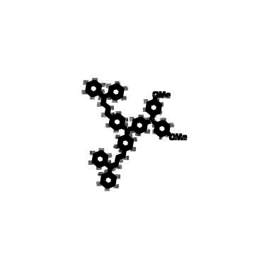 COc1ccc(N(c2ccc(OC)cc2)c2ccc(N(c3ccc(C=CC=C(c4ccccc4)c4ccccc4)cc3)c3ccc(C=CC=C(c4ccccc4)c4ccccc4)cc3)cc2)cc1